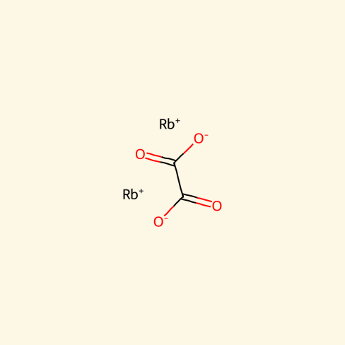 O=C([O-])C(=O)[O-].[Rb+].[Rb+]